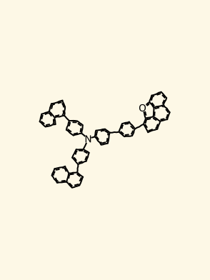 c1ccc2c(-c3ccc(N(c4ccc(-c5ccc(-c6ccc7ccc8cccc9oc6c7c89)cc5)cc4)c4ccc(-c5cccc6ccccc56)cc4)cc3)cccc2c1